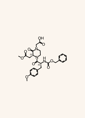 COC(=O)C[C@H]1C(=O)N(CC(=O)O)CCN1C(=O)[C@H](Cc1ccc(OC)cc1)NC(=O)OCc1ccccc1